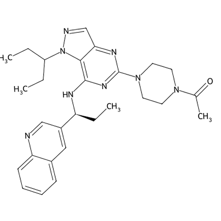 CCC(CC)n1ncc2nc(N3CCN(C(C)=O)CC3)nc(N[C@@H](CC)c3cnc4ccccc4c3)c21